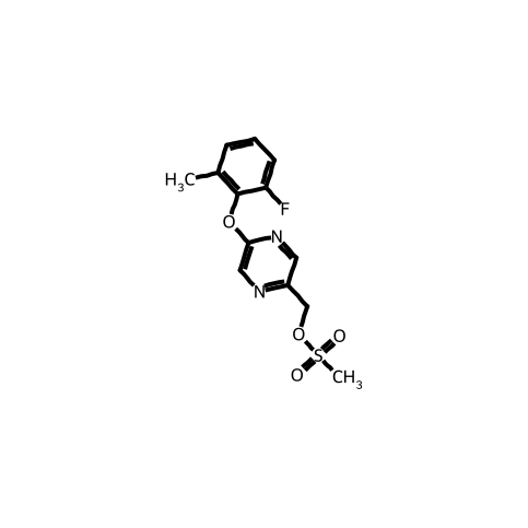 Cc1cccc(F)c1Oc1cnc(COS(C)(=O)=O)cn1